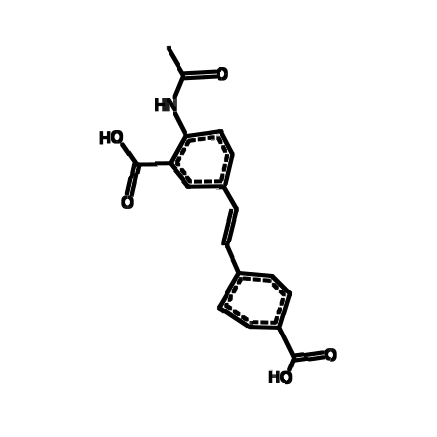 CC(=O)Nc1ccc(C=Cc2ccc(C(=O)O)cc2)cc1C(=O)O